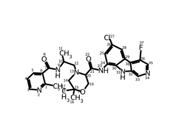 Cc1ncccc1C(=O)NC(C)CN1CC(C)(C)OCC1C(=O)Nc1cc(Cl)cc2c1[nH]c1cncc(F)c12